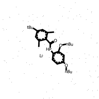 CCCCOc1ccc(PC(=O)c2c(C)cc(C(C)(C)C)cc2C)c(OCCCC)c1.[Li]